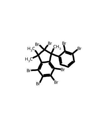 CC1(C)c2c(Br)c(Br)c(Br)c(Br)c2C(C)(c2cccc(Br)c2Br)C1(Br)Br